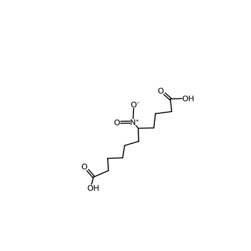 O=C(O)CCCCCC(CCCC(=O)O)[N+](=O)[O-]